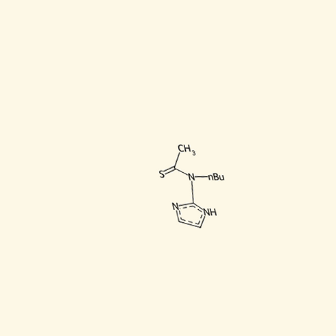 [CH2]CCCN(C(C)=S)c1ncc[nH]1